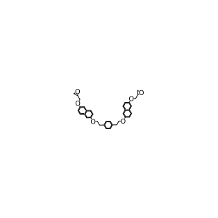 c1cc(CCOc2ccc3cc(OCC4CO4)ccc3c2)ccc1CCOc1ccc2cc(OCC3CO3)ccc2c1